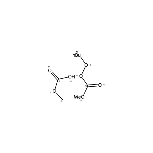 CCCCOOC(=O)OC.COC(=O)O